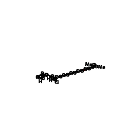 COC(COCCOCCOCCOCCOCCOCCOCCOCCOCCOCCOc1cc(Cl)cc(NC(=O)NCc2ccc3c(c2)CN(C2CCC(=O)NC2=O)C3=O)c1)OC